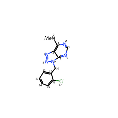 CNc1ncnc2c1nnn2Cc1ccccc1Cl